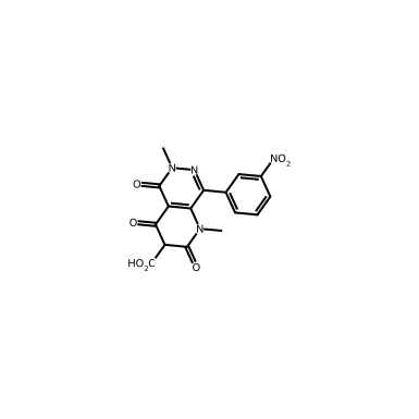 CN1C(=O)C(C(=O)O)C(=O)c2c1c(-c1cccc([N+](=O)[O-])c1)nn(C)c2=O